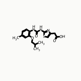 Cc1ccc(NC(=O)Nc2nc(CC(=O)O)cs2)c(OCC(C)C)c1